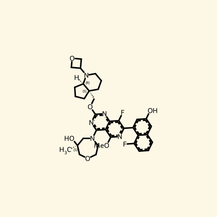 COc1nc(-c2cc(O)cc3cccc(F)c23)c(F)c2nc(OC[C@]34CCC[C@H]3N(C3COC3)CCC4)nc(N3CCOC[C@@](C)(O)C3)c12